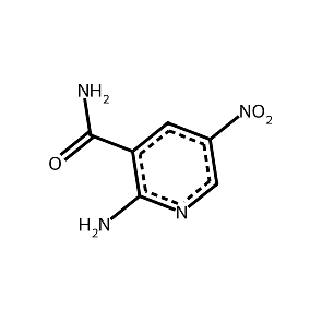 NC(=O)c1cc([N+](=O)[O-])cnc1N